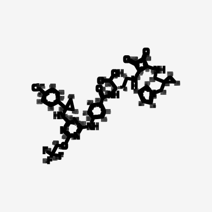 O=C(N[C@@H](CCNc1c(NCC2(Cn3cccc3)CC2)c(=O)c1=O)C(=O)O)c1ccc(Nc2nc(NC3(c4ccc(Cl)cc4)CC3)nc(OCC(F)(F)F)n2)cc1